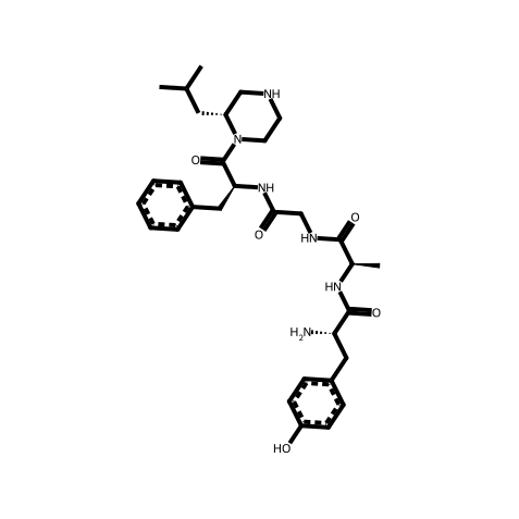 CC(C)C[C@@H]1CNCCN1C(=O)[C@H](Cc1ccccc1)NC(=O)CNC(=O)[C@@H](C)NC(=O)[C@@H](N)Cc1ccc(O)cc1